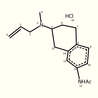 C=CCN(C)C1CCc2ccc(NC(C)=O)cc2C1.Cl